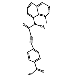 CN(C(=O)C#Cc1ccc(C(=O)O)cc1)c1cccc2cccc(I)c12